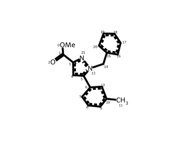 COC(=O)c1cc(-c2cccc(C)c2)n(Cc2ccccc2)n1